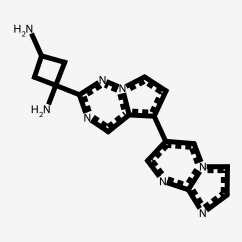 NC1CC(N)(c2ncc3c(-c4cnc5nccn5c4)ccn3n2)C1